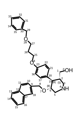 OC[C@@H]1CNC[C@H](OCc2ccc3ccccc3c2)[C@H]1c1ccc(OCCCOCc2ccccc2)cc1